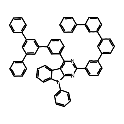 c1ccc(-c2cccc(-c3cccc(-c4cccc(-c5nc(-c6cccc(-c7cc(-c8ccccc8)cc(-c8ccccc8)c7)c6)c6c7ccccc7n(-c7ccccc7)c6n5)c4)c3)c2)cc1